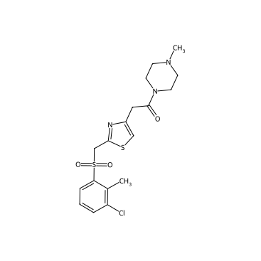 Cc1c(Cl)cccc1S(=O)(=O)Cc1nc(CC(=O)N2CCN(C)CC2)cs1